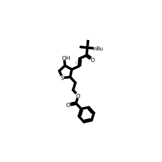 CCCCC(C)(C)C(=O)/C=C/C1C(O)CSC1CCOC(=O)c1ccccc1